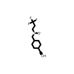 C#CC1CCC(C[S+]([O-])CCC(F)(F)F)CC1